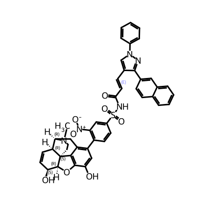 CN1CC[C@]23c4c5c(-c6ccc(S(=O)(=O)NC(=O)/C=C/c7cn(-c8ccccc8)nc7-c7ccc8ccccc8c7)cc6[N+](=O)[O-])cc(O)c4O[C@H]2[C@@H](O)C=C[C@H]3[C@H]1C5